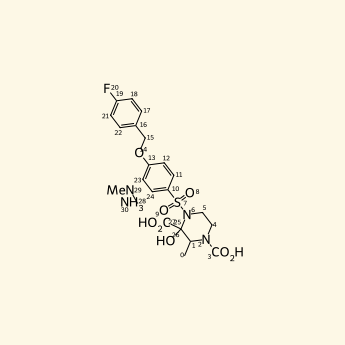 CC1N(C(=O)O)CCN(S(=O)(=O)c2ccc(OCc3ccc(F)cc3)cc2)C1(O)C(=O)O.CNC.N